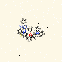 c1ccc(C2=NC(c3ccccc3)NC(c3cccc4sc5cc(-c6cccc7c6oc6cc(-n8c9ccccc9c9ccccc98)ccc67)ccc5c34)N2)cc1